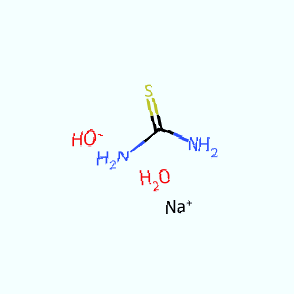 NC(N)=S.O.[Na+].[OH-]